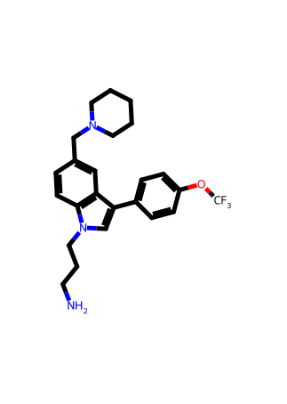 NCCCn1cc(-c2ccc(OC(F)(F)F)cc2)c2cc(CN3CCCCC3)ccc21